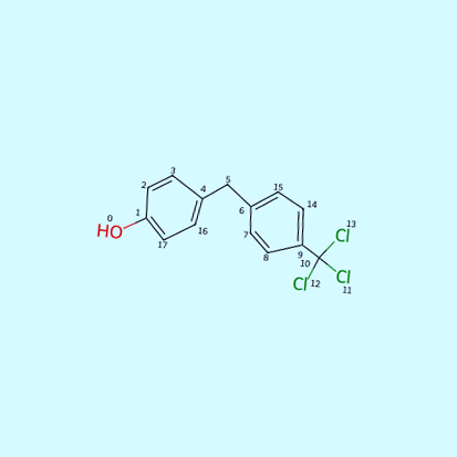 Oc1ccc(Cc2ccc(C(Cl)(Cl)Cl)cc2)cc1